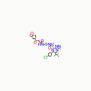 Cc1sc2c(c1C)C(c1ccc(Cl)cc1)=N[C@@H](CC(=O)NC1CC(NC(=O)/C=C/C(=O)c3ccc4c(c3)CCO4)C1)c1nnc(C)n1-2